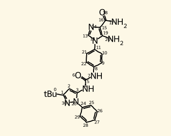 CC(C)(C)c1cc(NC(=O)Nc2ccc(-n3cnc(C(N)=O)c3N)cc2)n(-c2ccccc2)n1